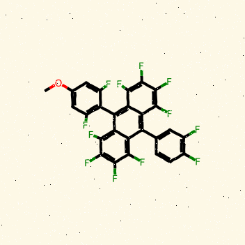 COc1cc(F)c(-c2c3c(F)c(F)c(F)c(F)c3c(-c3ccc(F)c(F)c3)c3c(F)c(F)c(F)c(F)c23)c(F)c1